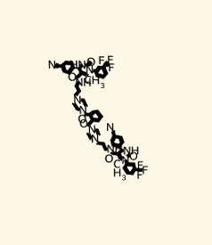 CC1=C(C(=O)NCCCN2CCN(C(=O)c3ccccc3C(=O)N3CCN(CCCNC(=O)C4=C(C)N(c5cccc(C(F)(F)F)c5)C(=O)N[C@@H]4c4ccc(C#N)cc4)CC3)CC2)[C@@H](c2ccc(C#N)cc2)NC(=O)N1c1cccc(C(F)(F)F)c1